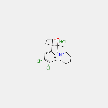 CC(O)(CN1CCCCC1)C1(c2ccc(Cl)c(Cl)c2)CCC1.Cl